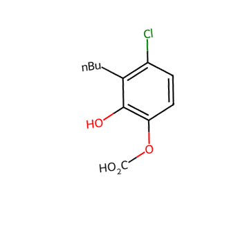 CCCCc1c(Cl)ccc(OC(=O)O)c1O